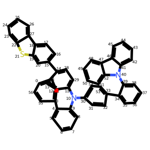 c1ccc(-c2ccccc2N(c2ccc(-c3ccc4c(c3)sc3ccccc34)cc2)c2ccc(-c3ccccc3-n3c4ccccc4c4ccccc43)cc2)cc1